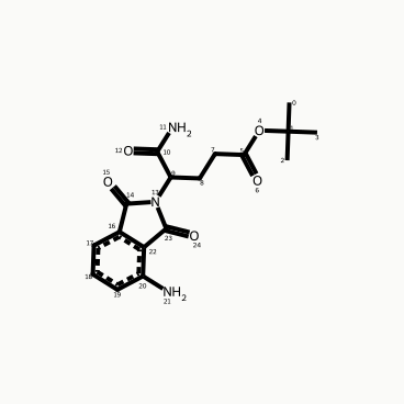 CC(C)(C)OC(=O)CCC(C(N)=O)N1C(=O)c2cccc(N)c2C1=O